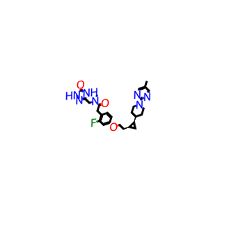 Cc1cnc(N2CCC([C@H]3C[C@H]3CCOc3ccc(CC(=O)N(C)Cc4n[nH]c(=O)[nH]4)c(F)c3)CC2)nc1